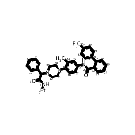 CCNC(=O)C(c1ccccc1)N1CCN(c2ccc(NC(=O)c3ccccc3-c3ccc(C(F)(F)F)cc3)cc2C)CC1